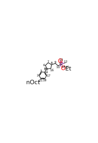 CCCCCCCCc1ccc([C@H]2CCC(CCP(C)(=O)OCC)C2)cc1